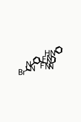 FC(F)(c1cccc(-c2ncc(Br)cn2)c1)c1nnc2ccc(Nc3ccccc3)nn12